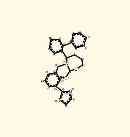 O=CC1CCCCC(c2ccccc2-c2cccnc2)N1Cc1cccc(-c2nccs2)c1